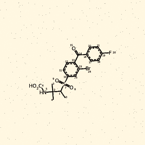 CC(C(C)(C)NC(=O)O)S(=O)(=O)c1ccc(C(=O)c2ccc(F)cc2)c(Br)c1